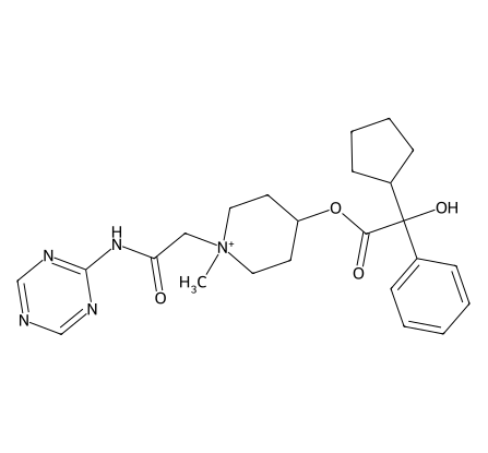 C[N+]1(CC(=O)Nc2ncncn2)CCC(OC(=O)C(O)(c2ccccc2)C2CCCC2)CC1